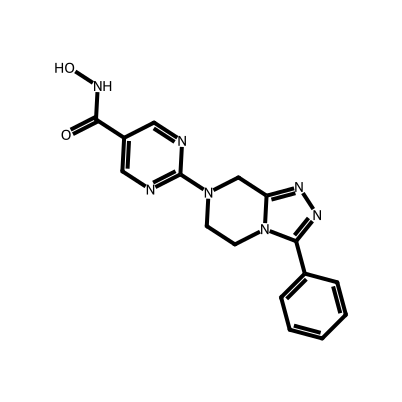 O=C(NO)c1cnc(N2CCn3c(nnc3-c3ccccc3)C2)nc1